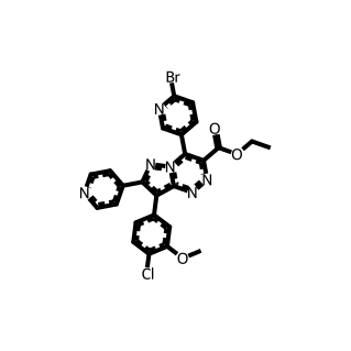 CCOC(=O)c1nnc2c(-c3ccc(Cl)c(OC)c3)c(-c3ccncc3)nn2c1-c1ccc(Br)nc1